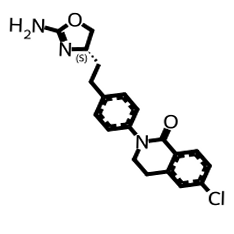 NC1=N[C@@H](CCc2ccc(N3CCc4cc(Cl)ccc4C3=O)cc2)CO1